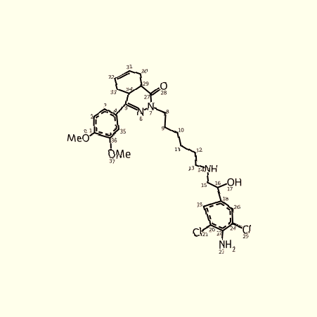 COc1ccc(C2=NN(CCCCCCNCC(O)c3cc(Cl)c(N)c(Cl)c3)C(=O)C3CC=CCC23)cc1OC